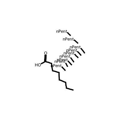 CCCCCC.CCCCCC.CCCCCC.CCCCCC.CCCCCC.CCCCCC.CCCCCC.CCCCCC.CCCCCC.CCCCCCCC(=O)O